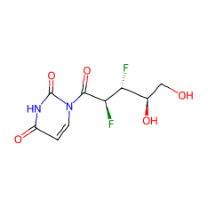 O=C([C@H](F)[C@H](F)[C@H](O)CO)n1ccc(=O)[nH]c1=O